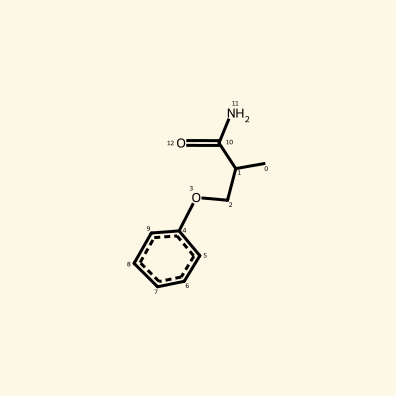 CC(COc1ccccc1)C(N)=O